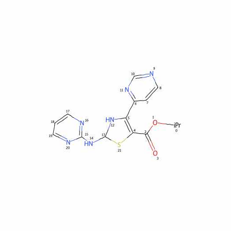 CC(C)OC(=O)C1=C(c2ccncn2)NC(Nc2ncccn2)S1